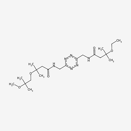 CCOC(C)(C)CC(=O)NCc1nnc(CNC(=O)CC(C)(C)OCC(C)(C)OC)nn1